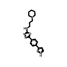 c1cc(-c2ccc(-c3nnc(NCCCN4CCCCC4)o3)cc2)n[nH]1